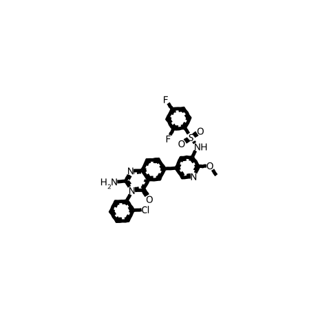 COc1ncc(-c2ccc3nc(N)n(-c4ccccc4Cl)c(=O)c3c2)cc1NS(=O)(=O)c1ccc(F)cc1F